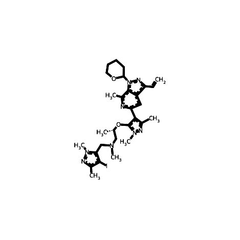 C=Cc1nn(C2CCCCO2)c2c(C)nc(-c3c(C)nn(C)c3O[C@@H](C)CN(C)Cc3c(I)c(C)nn3C)cc12